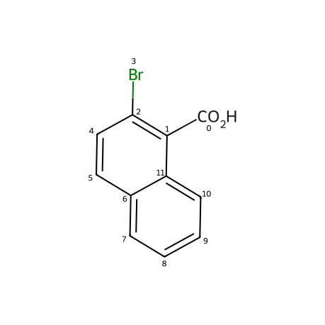 O=C(O)c1c(Br)ccc2ccccc12